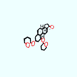 C[C@]12CC[C@@H]3[C@@H](CC=C4CC(OC5CCCCO5)CC(OC5CCCCO5)[C@@]43C)[C@@H]1CCC2=O